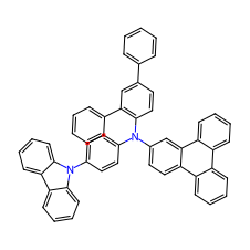 c1ccc(-c2ccc(N(c3ccc(-n4c5ccccc5c5ccccc54)cc3)c3ccc4c5ccccc5c5ccccc5c4c3)c(-c3ccccc3)c2)cc1